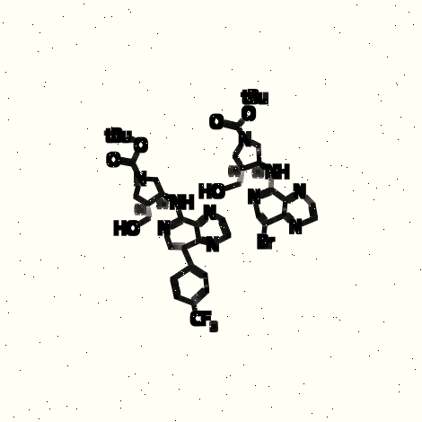 CC(C)(C)OC(=O)N1C[C@@H](CO)[C@H](Nc2ncc(-c3ccc(C(F)(F)F)cc3)c3nccnc23)C1.CC(C)(C)OC(=O)N1C[C@@H](CO)[C@H](Nc2ncc(Br)c3nccnc23)C1